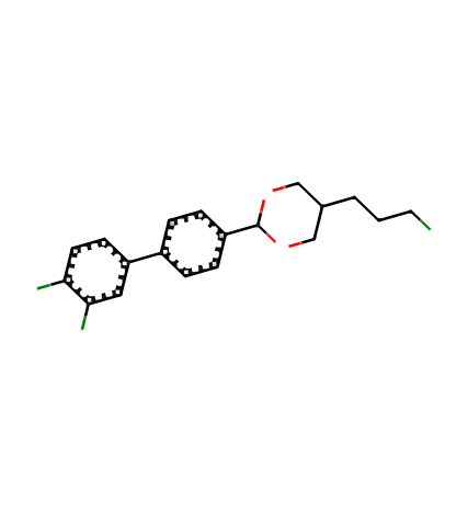 FCCCC1COC(c2ccc(-c3ccc(F)c(F)c3)cc2)OC1